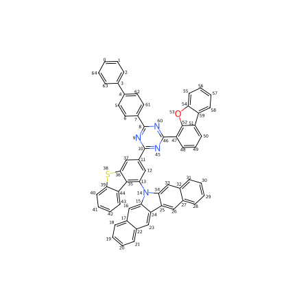 c1ccc(-c2ccc(-c3nc(-c4cc(-n5c6cc7ccccc7cc6c6cc7ccccc7cc65)c5c(c4)sc4ccccc45)nc(-c4cccc5c4oc4ccccc45)n3)cc2)cc1